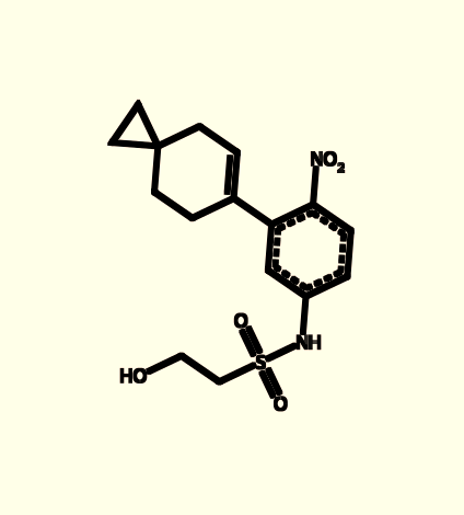 O=[N+]([O-])c1ccc(NS(=O)(=O)CCO)cc1C1=CCC2(CC1)CC2